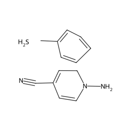 Cc1ccccc1.N#CC1=CCN(N)C=C1.S